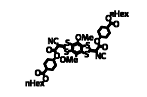 [C-]#[N+]C(C(=O)OC1CCC(C(=O)OCCCCCC)CC1)=C1Sc2c(OC)c3c(c(OC)c2S1)SC(=C(C#N)C(=O)OC1CCC(C(=O)OCCCCCC)CC1)S3